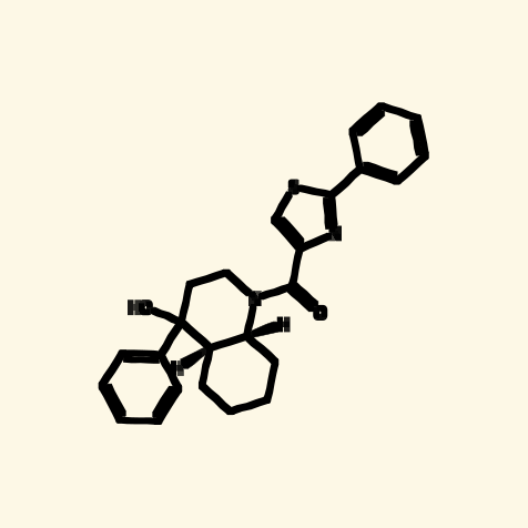 O=C(c1csc(-c2ccccc2)n1)N1CCC(O)(c2ccccc2)[C@H]2CCCC[C@H]21